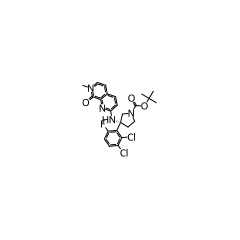 Cn1ccc2ccc(N[C@@]3(c4c(F)ccc(Cl)c4Cl)CCN(C(=O)OC(C)(C)C)C3)nc2c1=O